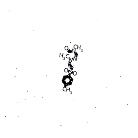 Cc1ccc(S(=O)(=O)/C=C/N(C)/N=C\N(C)C=O)cc1